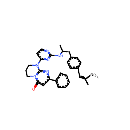 C/C(=C/c1ccc(CC(C)Nc2nccc(N3CCCn4c3nc(-c3ccccc3)cc4=O)n2)cc1)[N+](=O)[O-]